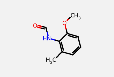 COc1cccc(C)c1NC=O